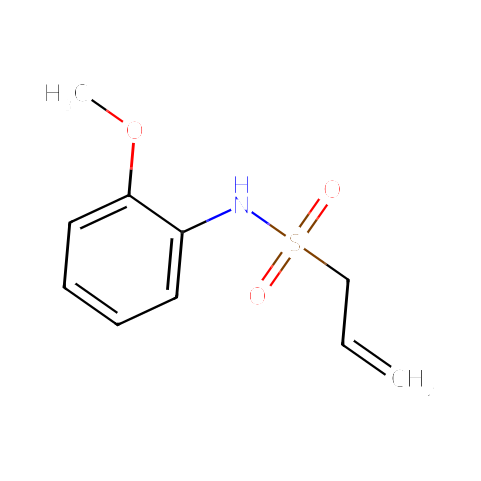 C=CCS(=O)(=O)Nc1ccccc1OC